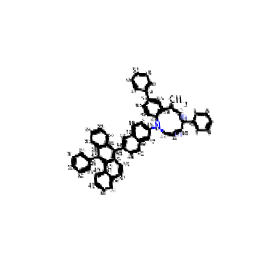 C=C1/C=C(c2ccccc2)\C=C/CN(c2ccc3cc(-c4c5ccccc5c(-c5ccccc5)c5c4ccc4ccccc45)ccc3c2)c2ccc(-c3ccccc3)cc21